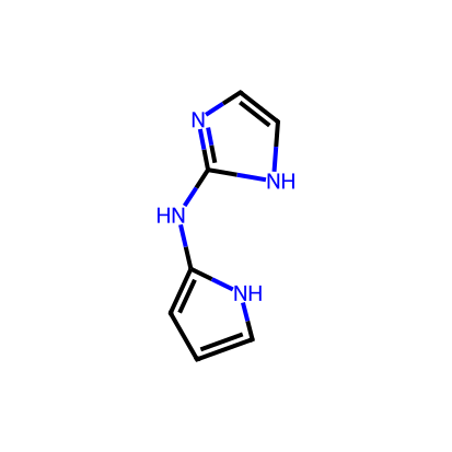 c1c[nH]c(Nc2ncc[nH]2)c1